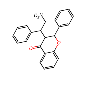 O=C1c2ccccc2OC(c2ccccc2)C1C(C[N+](=O)[O-])c1ccccc1